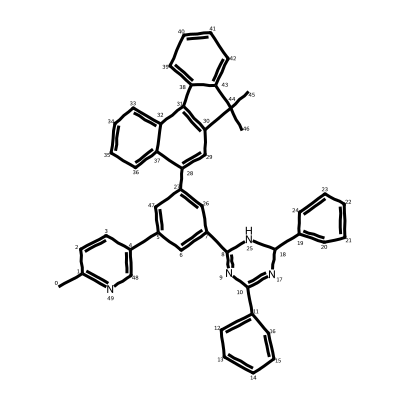 Cc1ccc(-c2cc(C3=NC(c4ccccc4)=NC(c4ccccc4)N3)cc(-c3cc4c(c5ccccc35)-c3ccccc3C4(C)C)c2)cn1